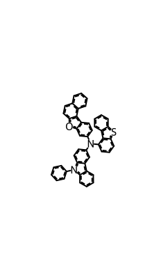 c1ccc(-n2c3ccccc3c3cc(N(c4ccc5c(c4)oc4ccc6ccccc6c45)c4cccc5sc6ccccc6c45)ccc32)cc1